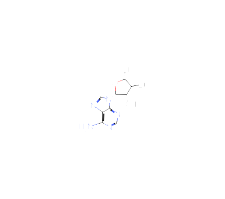 CCC1[C@@H](CC)O[C@@H](n2cnc3c(N)ncnc32)[C@H]1C